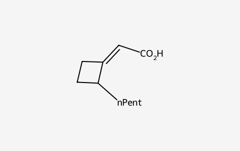 CCCCCC1CCC1=CC(=O)O